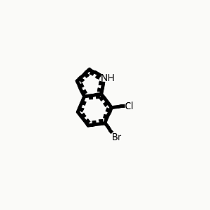 Clc1c(Br)ccc2cc[nH]c12